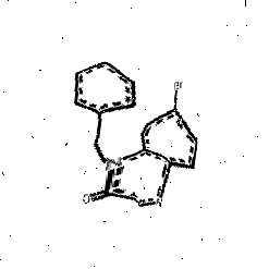 O=c1cnc2ccc(Br)cc2n1Cc1ccccc1